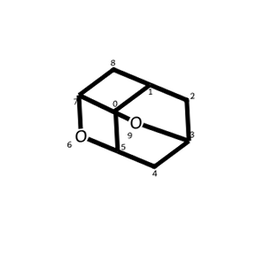 C1C2CC3CC1OC(C2)O3